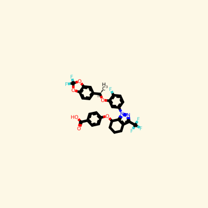 C[C@H](Oc1cc(-n2nc(C(F)(F)F)c3c2C(Oc2ccc(C(=O)O)cc2)CCC3)ccc1F)c1ccc2c(c1)OC(F)(F)O2